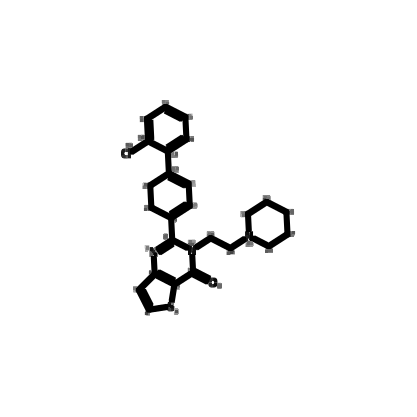 O=c1c2sccc2nc(C2=CC=C(c3ccccc3Cl)CC2)n1CCN1CCCCC1